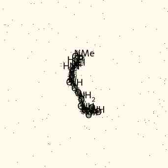 CNC(=O)c1ccccc1Nc1nc(Nc2ccc(N3CCN(C(=O)NCCOCCOCC(N)COCCC(=O)Nc4cccc5c4CN(C4CCC(=O)NC4=O)C5=O)CC3)cc2)ncc1Cl